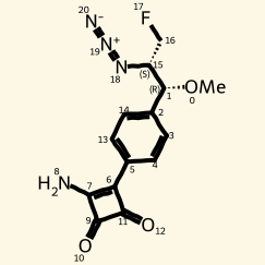 CO[C@H](c1ccc(-c2c(N)c(=O)c2=O)cc1)[C@@H](CF)N=[N+]=[N-]